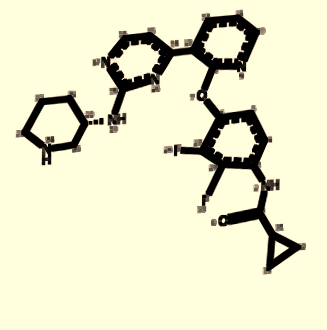 O=C(Nc1ccc(Oc2ncccc2-c2ccnc(N[C@H]3CCCNC3)n2)c(F)c1F)C1CC1